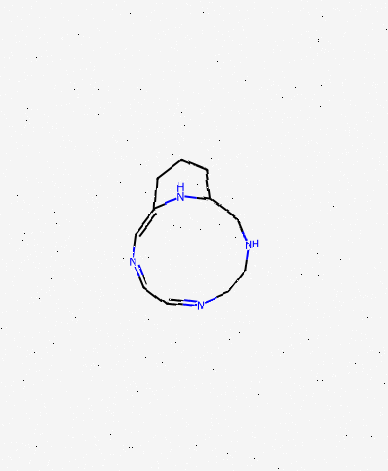 C1=NC=C2CCCC(CNCCN=C1)N2